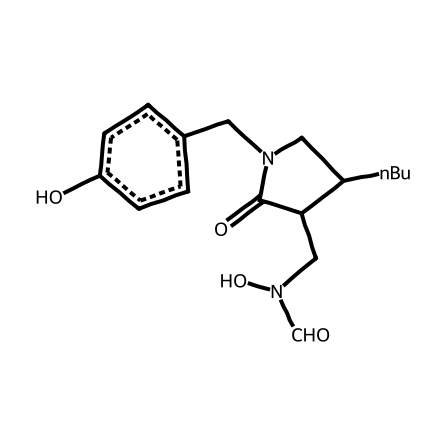 CCCCC1CN(Cc2ccc(O)cc2)C(=O)C1CN(O)C=O